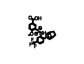 COc1ccc(C(=O)O)cc1S(=O)(=O)Nc1cc(C(F)(F)F)ccc1N1CC2CCC(C1)O2